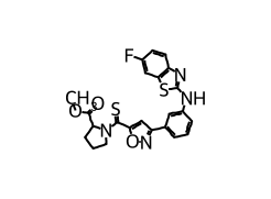 COC(=O)C1CCCN1C(=S)c1cc(-c2cccc(Nc3nc4ccc(F)cc4s3)c2)no1